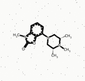 C[C@@H]1CN(c2cccc3c2oc(=O)n3C)C[C@H](C)N1C